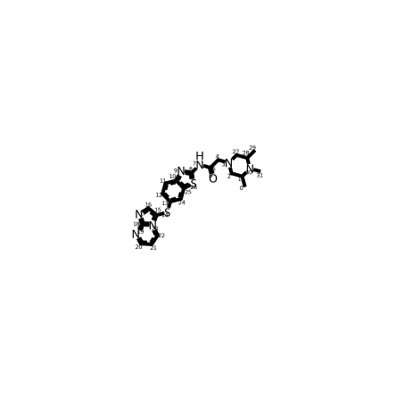 CC1CN(CC(=O)Nc2nc3ccc(Sc4cnc5ncccn45)cc3s2)CC(C)N1C